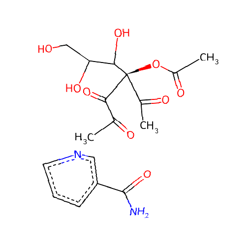 CC(=O)O[C@@](C(C)=O)(C(=O)C(C)=O)C(O)C(O)CO.NC(=O)c1cccnc1